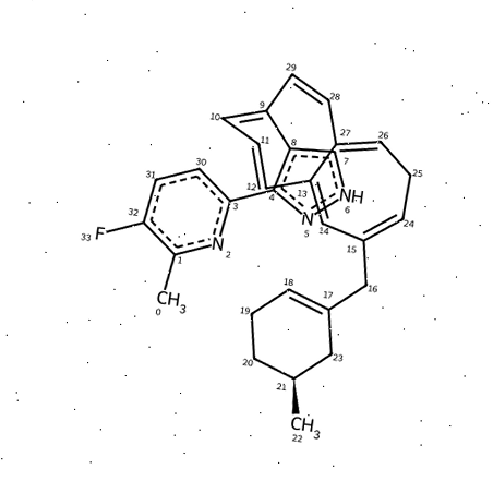 Cc1nc(-c2n[nH]cc2C2=C\C=C\C3=CC(CC4=CCC[C@H](C)C4)=CCC=C3/C=C\2)ccc1F